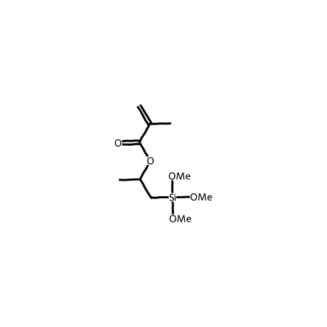 C=C(C)C(=O)OC(C)C[Si](OC)(OC)OC